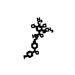 COc1c(C(=O)NCCN2CCC(C(=O)c3ccc(F)cc3)CC2)cc(Cl)c(C)c1Cl